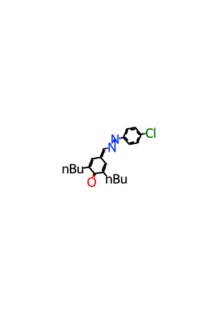 CCCCC1=CC(=CN=Nc2ccc(Cl)cc2)C=C(CCCC)C1=O